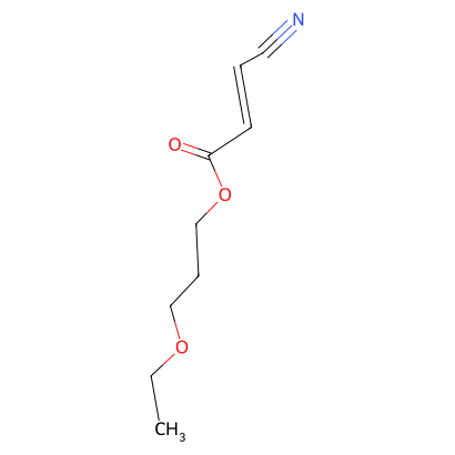 CCOCCCOC(=O)C=CC#N